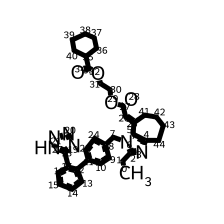 CCc1nc2c(n1Cc1ccc(-c3ccccc3-c3nnn[nH]3)cc1)C(=CC(=O)OCCOC(=O)C1CCCCC1)CCCC2